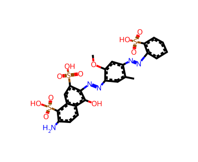 COc1cc(N=Nc2ccccc2S(=O)(=O)O)c(C)cc1N=Nc1c(S(=O)(=O)O)cc2c(S(=O)(=O)O)c(N)ccc2c1O